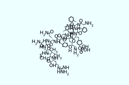 CC[C@H](C)[C@H](NC(=O)[C@H](CCSC)NC(=O)[C@H](CC(N)=O)NC(=O)[C@H](CCC(N)=O)NC(=O)[C@H](Cc1ccc(O)cc1)NC(=O)[C@H](Cc1c[nH]c2ccccc12)NC(=O)[C@H](CCCCN)NC(=O)[C@H](Cc1ccc(OP(=O)(O)O)cc1)NC(=O)[C@H](Cc1ccccc1)NC(=O)[C@H](Cc1ccccc1)NC(=O)CN)C(=O)N[C@@H](CCCNC(=N)N)C(=O)O